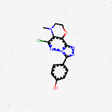 CN1CCOc2c1c(Cl)nn1c(-c3ccc(O)cc3)nnc21